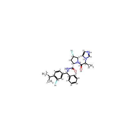 CC(C)c1ccc([C@@H](NC(=O)[C@@H]2C[C@@H](F)CN2C(=O)C(C)n2ccnc2)c2ccccc2)cc1F